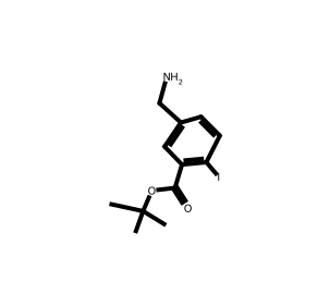 CC(C)(C)OC(=O)c1cc(CN)ccc1I